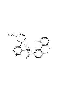 CC(=O)O[C@H]1C=CO[C@](c2ccncc2NC(=O)c2ccc(F)c(-c3c(F)cccc3F)n2)(C(F)(F)F)C1